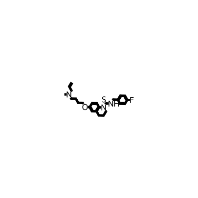 C=CCN(C)CCCCOc1ccc2c(c1)CCCN2C(=S)NCc1ccc(F)cc1